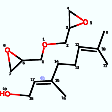 C(OCC1CO1)C1CO1.CC(C)=CCC/C(C)=C/CO